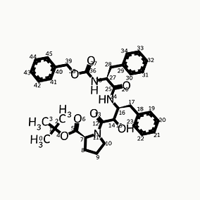 CC(C)(C)OC(=O)[C@@H]1CCCN1C(=O)C(O)[C@H](Cc1ccccc1)NC(=O)[C@H](Cc1ccccc1)NC(=O)OCc1ccccc1